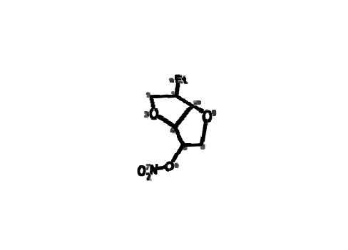 CCC1COC2C(O[N+](=O)[O-])COC12